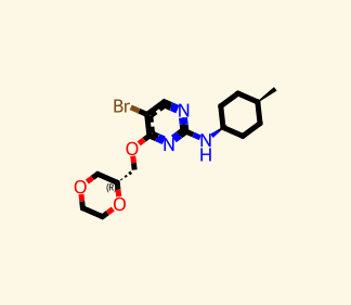 C[C@H]1CC[C@@H](Nc2ncc(Br)c(OC[C@H]3COCCO3)n2)CC1